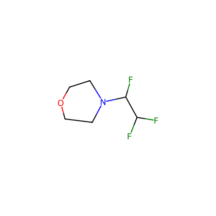 FC(F)C(F)N1CCOCC1